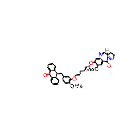 COc1ccc(C=C2c3ccccc3C(=O)c3ccccc32)cc1OCCCCCCOc1cc2c(cc1OC)C(=O)N1CCC[C@H]1C=N2